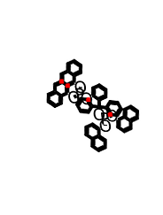 c1ccc(C(OP(Oc2cccc3ccccc23)Oc2cccc3ccccc23)(c2ccccc2)c2ccccc2OP(Oc2cccc3ccccc23)Oc2cccc3ccccc23)cc1